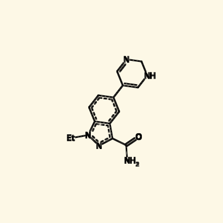 CCn1nc(C(N)=O)c2cc(C3=CNCN=C3)ccc21